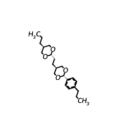 CCCc1ccc([C@H]2OC[C@H](CC[C@H]3OC[C@H](CCC)CO3)CO2)cc1